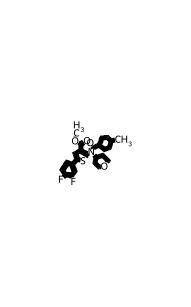 COC(=O)c1cc(-c2ccc(F)c(F)c2)sc1N(C(=O)C1CCC(C)CC1)C1CCOCC1